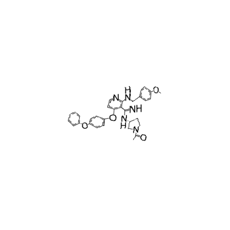 COc1ccc(CNc2nccc(Oc3ccc(Oc4ccccc4)cc3)c2C(=N)N[C@@H]2CCN(C(C)=O)C2)cc1